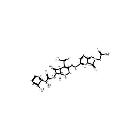 O=C(O)Cn1nc2ccc(SCC3=C(C(=O)O)N4C(=O)C(NC(=O)C(O)c5ccccc5O)[C@@H]4SC3)nn2c1=O